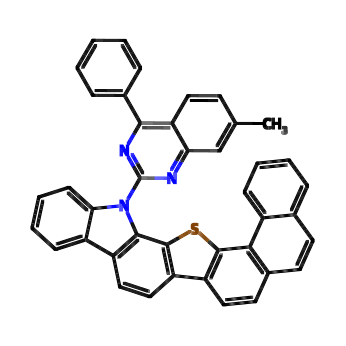 Cc1ccc2c(-c3ccccc3)nc(-n3c4ccccc4c4ccc5c6ccc7ccc8ccccc8c7c6sc5c43)nc2c1